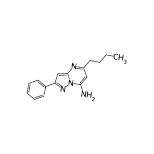 CCCCc1cc(N)n2nc(-c3ccccc3)cc2n1